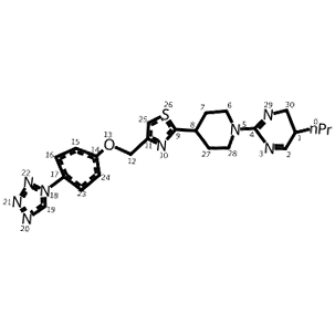 CCCC1C=NC(N2CCC(c3nc(COc4ccc(-n5cnnn5)cc4)cs3)CC2)=NC1